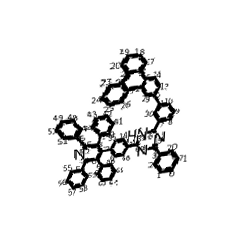 c1ccc(C2=NC(c3cccc(-c4ccc5c6ccccc6c6ccccc6c5c4)c3)NC(c3ccc(-c4c(-c5ccccc5)c(-c5ccccc5)nc(-c5ccccc5)c4-c4ccccc4)cc3)=N2)cc1